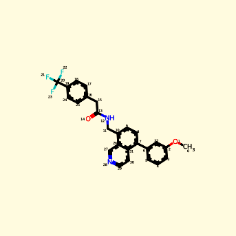 COc1cccc(-c2ccc(CNC(=O)Cc3ccc(C(F)(F)F)cc3)c3cnccc23)c1